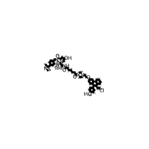 Cc1ncsc1-c1ccc(CNC(=O)[C@@H]2C[C@@H](O)CN2C(=O)C(NC(=O)CCCCCC(=O)N2CCN(CCOc3ccc(C(=C(CCCl)c4ccccc4)c4ccc(O)cc4)cc3)CC2)C(C)(C)C)cc1